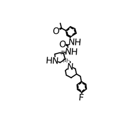 CC(=O)c1cccc(NC(=O)N[C@@H]2CCNC[C@H]2CN2CCCC(Cc3ccc(F)cc3)C2)c1